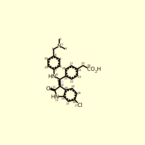 CN(C)Cc1ccc(N/C(=C2\C(=O)Nc3cc(Cl)ccc32)c2ccc(CC(=O)O)cc2)cc1